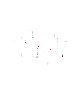 Cc1nc2c(n1[C@H]1C[C@H]3CC[C@@H](C1)N3CC[C@H](NC(=O)O)c1cccc(F)c1)CNCC2